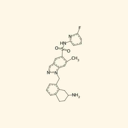 Cc1cc2c(cnn2Cc2cccc3c2CC(N)CC3)cc1S(=O)(=O)Nc1cccc(F)n1